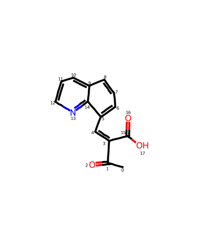 CC(=O)C(=Cc1cccc2cccnc12)C(=O)O